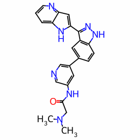 CN(C)CC(=O)Nc1cncc(-c2ccc3[nH]nc(-c4cc5ncccc5[nH]4)c3c2)c1